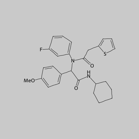 COc1ccc(C(C(=O)NC2CCCCC2)N(C(=O)Cc2cccs2)c2cccc(F)c2)cc1